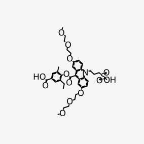 CCc1cc(C(=O)O)cc(C)c1OC(=O)c1c2cc(OCCOCCOC)ccc2[n+](CCCS(=O)(=O)O)c2ccc(OCCOCCOC)cc12